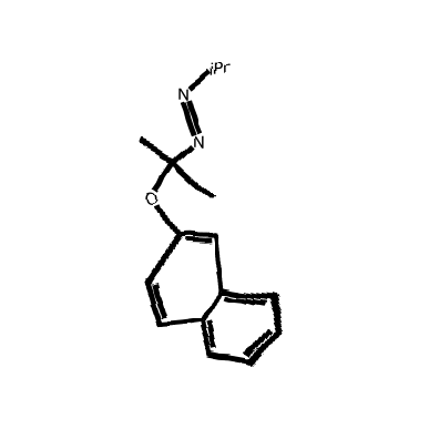 CC(C)/N=N/C(C)(C)Oc1ccc2ccccc2c1